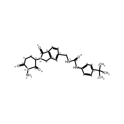 CC(C)(C)c1ccc(NC(=O)NCc2ccc3c(c2)CN(C2CCC(=O)N(N)C2=O)C3=O)cc1